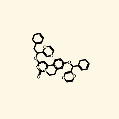 O=c1nc(OC(CC2=CC=CCC2)C2=COC=CO2)cc2n1CCc1cc(OC(C3=CC=CCC3)C3=COC=CO3)ccc1-2